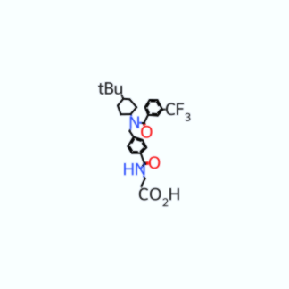 CC(C)(C)C1CCC(N(Cc2ccc(C(=O)NCCC(=O)O)cc2)C(=O)c2cccc(C(F)(F)F)c2)CC1